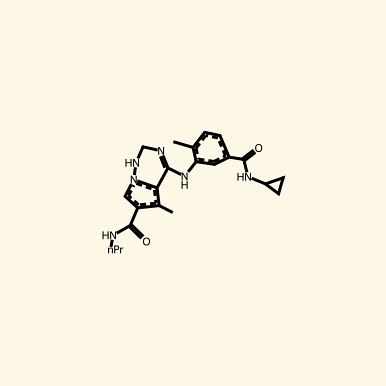 CCCNC(=O)c1cn2c(c1C)C(Nc1cc(C(=O)NC3CC3)ccc1C)=NCN2